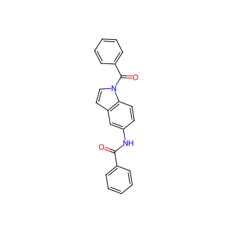 O=C(Nc1ccc2c(ccn2C(=O)c2ccccc2)c1)c1ccccc1